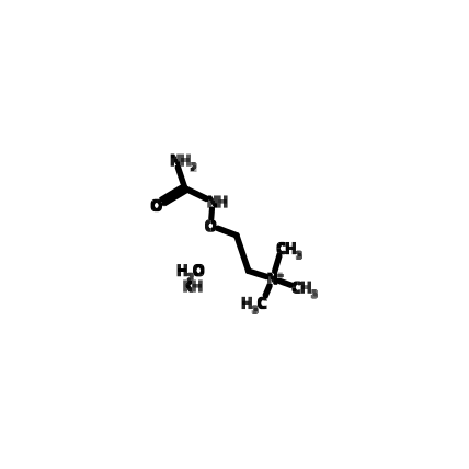 C[N+](C)(C)CCONC(N)=O.O.[KH]